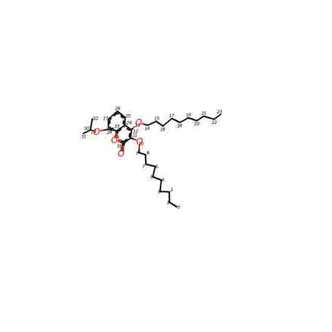 CCCCCCCCCCOc1c(OCCCCCCCCCC)c2cccc(OC(C)C)c2oc1=O